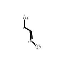 C/N=C/CO